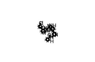 O=C(Nc1cncc(-c2ccc3[nH]nc(-c4nc5c(-c6ccc(Cl)s6)ccnc5[nH]4)c3n2)c1)C1CCCC1